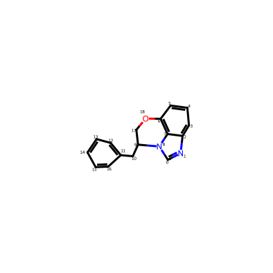 [c]1nc2cccc3c2n1C(Cc1ccccc1)CO3